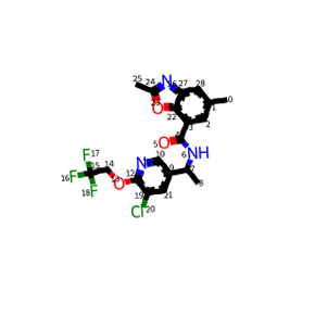 Cc1cc(C(=O)NC(C)c2cnc(OCC(F)(F)F)c(Cl)c2)c2oc(C)nc2c1